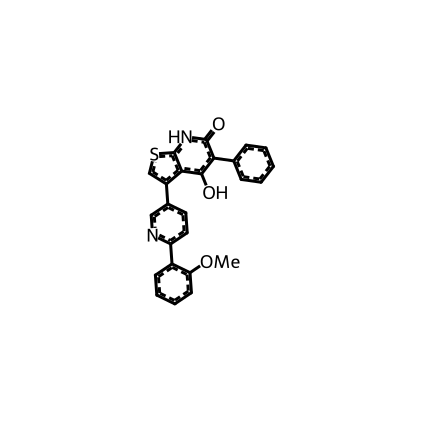 COc1ccccc1-c1ccc(-c2csc3[nH]c(=O)c(-c4ccccc4)c(O)c23)cn1